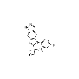 CC1(c2cc3cc4[nH]ncc4cc3n2-c2ccc(F)cc2)COC1